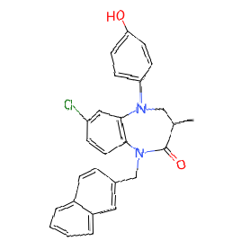 CC1CN(c2ccc(O)cc2)c2cc(Cl)ccc2N(Cc2ccc3ccccc3c2)C1=O